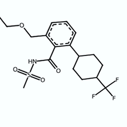 CCOCc1cccc(C2CCC(C(F)(F)F)CC2)c1C(=O)NS(C)(=O)=O